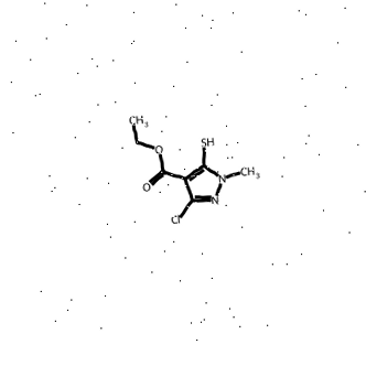 CCOC(=O)c1c(Cl)nn(C)c1S